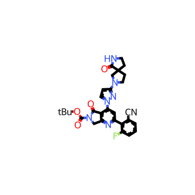 CC(C)(C)OC(=O)N1Cc2nc(-c3c(F)cccc3C#N)cc(-n3ccc(N4CCC5(CCNC5=O)C4)n3)c2C1=O